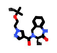 CCC(C)[C@H]1C(=O)Nc2ccccc2CN1C(=O)c1cnn(CCO[Si](C)(C)C(C)(C)C)c1